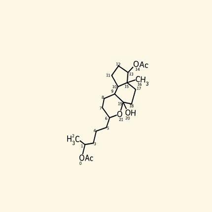 CC(=O)OC(C)CCCC1CCC2C3CCC(OC(C)=O)C3(C)CCC2(O)O1